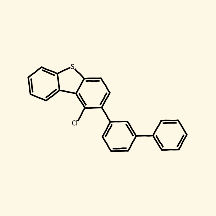 Clc1c(-c2cccc(-c3ccccc3)c2)ccc2sc3ccccc3c12